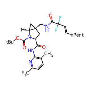 CCCCCC=CC(F)(F)C(=O)NC[C@@]12C[C@@H](C(=O)Nc3nc(C(F)(F)F)ccc3C)N(C(=O)OC(C)(C)C)[C@@H]1C2